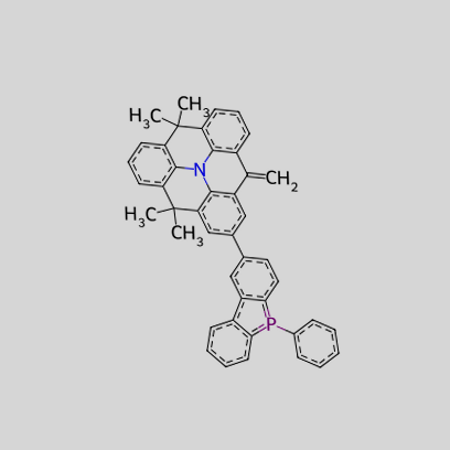 C=C1c2cccc3c2N2c4c1cc(-c1ccc5c(c1)c1ccccc1p5-c1ccccc1)cc4C(C)(C)c1cccc(c12)C3(C)C